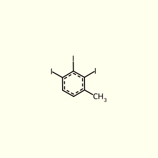 Cc1ccc(I)c(I)c1I